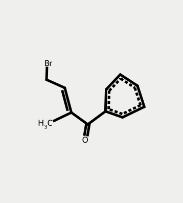 CC(=CCBr)C(=O)c1ccccc1